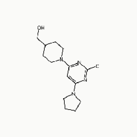 OCC1CCN(c2cc(N3CCCC3)nc(Cl)n2)CC1